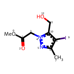 COC(=O)Cn1nc(C)c(I)c1CO